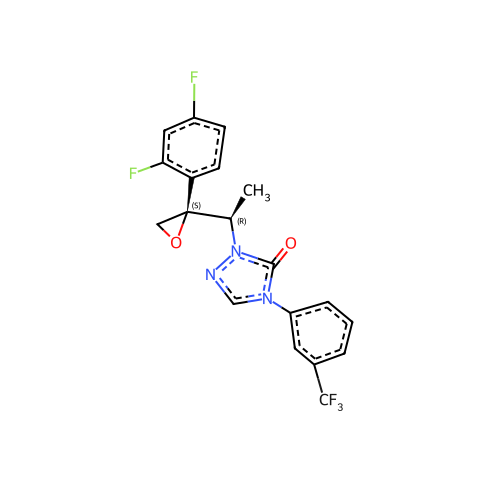 C[C@@H](n1ncn(-c2cccc(C(F)(F)F)c2)c1=O)[C@@]1(c2ccc(F)cc2F)CO1